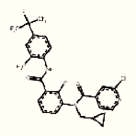 O=C(Nc1ccc(C(F)(C(F)(F)F)C(F)(F)F)cc1C(F)(F)F)c1cccc(N(CC2CC2)C(=O)c2ccnc(Cl)c2)c1F